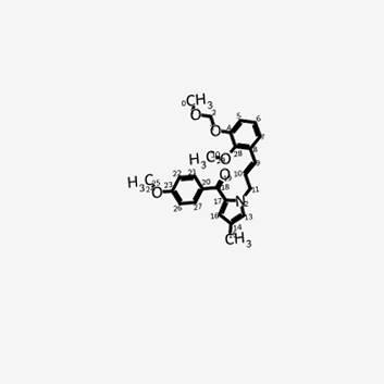 COCOc1cccc(C=CCn2cc(C)cc2C(=O)c2ccc(OC)cc2)c1OC